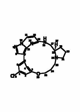 Clc1cc2cc(c1)-c1cnn3ccc(nc13)NC[C@H]1CCCN1CCCO2